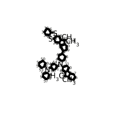 CC1(C)c2ccccc2-c2ccc(N(c3ccc(-c4ccc5c(c4)-c4cc6c(cc4C5(C)C)Sc4ccccc4S6)cc3)c3ccc(N(c4ccccc4)c4ccccc4)cc3)cc21